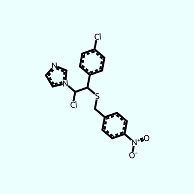 O=[N+]([O-])c1ccc(CSC(c2ccc(Cl)cc2)C(Cl)n2ccnc2)cc1